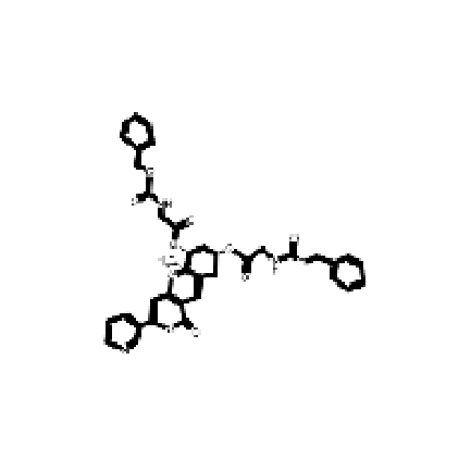 C[C@@]12Oc3cc(-c4cccnc4)oc(=O)c3C=C1C[C@@H](OC(=O)CNC(=O)OCc1ccccc1)C[C@H]2OC(=O)CNC(=O)OCc1ccccc1